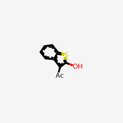 CC(=O)c1c(O)sc2ccccc12